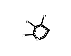 CCc1ccnc(CC)c1CC